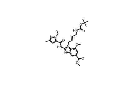 CCn1nc(C)cc1C(=O)Nc1nc2cc(C(=O)OC)cc(OC)c2n1CC=CCNC(=O)OC(C)(C)C